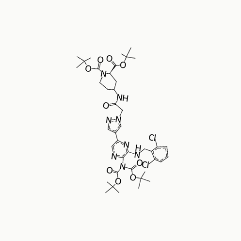 CC(C)(C)OC(=O)[C@H]1CC(NC(=O)Cn2cc(-c3cnc(N(C(=O)OC(C)(C)C)C(=O)OC(C)(C)C)c(NCc4c(Cl)cccc4Cl)n3)cn2)CCN1C(=O)OC(C)(C)C